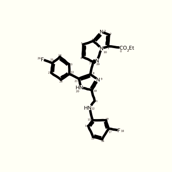 CCOC(=O)c1cnc2ccc(-c3nc(CNc4cccc(F)c4)[nH]c3-c3ccc(F)cc3)nn12